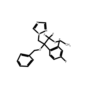 CCSC(F)(F)C(Cn1cncn1)(OCc1ccccc1)c1ccc(F)cc1F